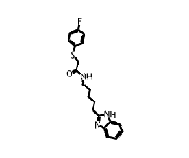 O=C(CSc1ccc(F)cc1)NCCCCCc1nc2ccccc2[nH]1